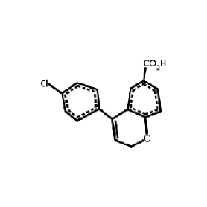 O=C(O)c1ccc2c(c1)C(c1ccc(Cl)cc1)=CCO2